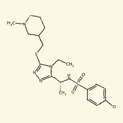 CCn1c(SCC2CCCN(C)C2)nnc1[C@@H](C)NS(=O)(=O)c1ccc(Cl)cc1